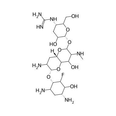 CNC1C(O[C@H]2OC(CO)[C@@H](NC(=N)N)CC2O)O[C@H]2CC(N)[C@@H](O[C@H]3C(N)C[C@@H](N)C(O)C3F)OC2C1O